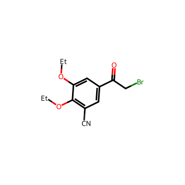 CCOc1cc(C(=O)CBr)cc(C#N)c1OCC